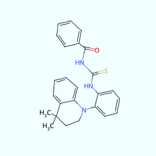 CC1(C)CCN(c2ccccc2NC(=S)NC(=O)c2ccccc2)c2ccccc21